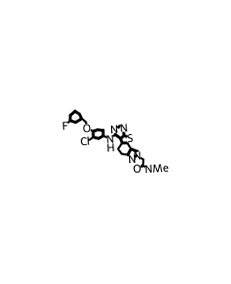 CNC(=O)Cn1cc2c(n1)CCc1c-2sc2ncnc(Nc3ccc(OCc4cccc(F)c4)c(Cl)c3)c12